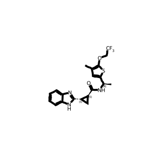 Cc1cc([C@@H](C)NC(=O)[C@H]2C[C@@H]2c2nc3ccccc3[nH]2)sc1OCC(F)(F)F